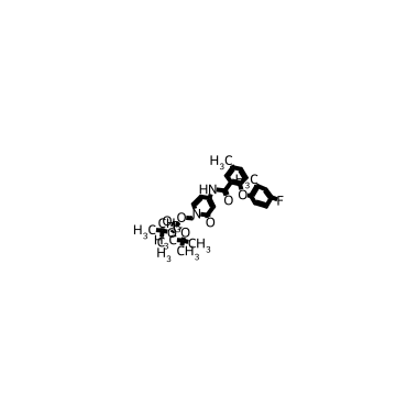 Cc1ccc(Oc2ccc(F)cc2C)c(C(=O)Nc2ccn(COP(=O)(OC(C)(C)C)OC(C)(C)C)c(=O)c2)c1